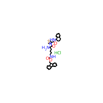 Cl.NC(CCCCNC(=O)OCC1c2ccccc2-c2ccccc21)C(=O)N1CSCC1C(=O)NC1CCCc2ccccc21